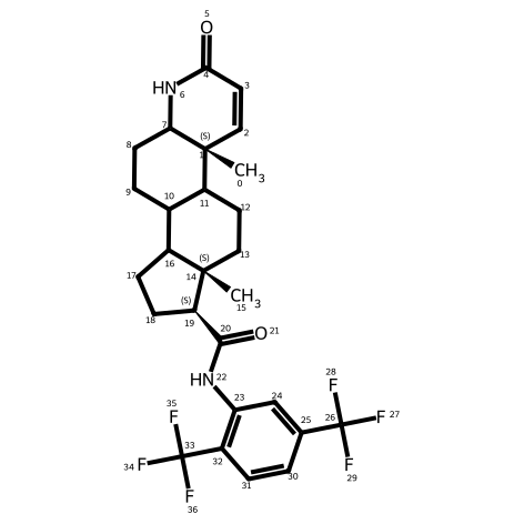 C[C@]12C=CC(=O)NC1CCC1C2CC[C@@]2(C)C1CC[C@@H]2C(=O)Nc1cc(C(F)(F)F)ccc1C(F)(F)F